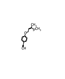 C#Cc1ccc(OCC=C(C)SC)cc1